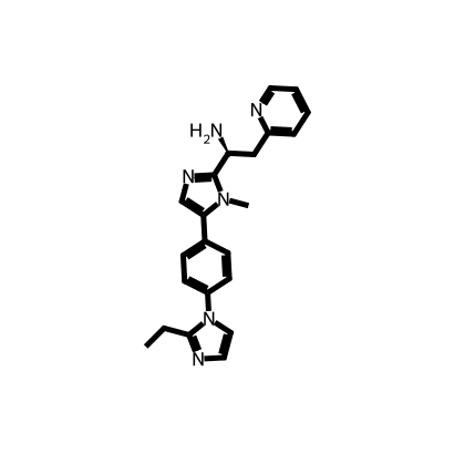 CCc1nccn1-c1ccc(-c2cnc([C@@H](N)Cc3ccccn3)n2C)cc1